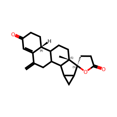 C=C1CC2C(CC[C@@]3(C)C2C2CC2[C@@]32CCC(=O)O2)[C@H]2CCC(=O)C=C12